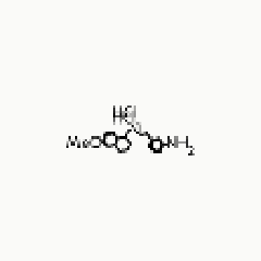 COc1ccc2c(c1)CCCC2CN(C)CCc1cccc(N)c1.Cl.Cl